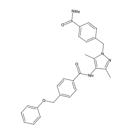 CNC(=O)c1ccc(Cn2nc(C)c(NC(=O)c3ccc(COc4ccccc4)cc3)c2C)cc1